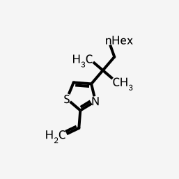 C=Cc1nc(C(C)(C)CCCCCCC)cs1